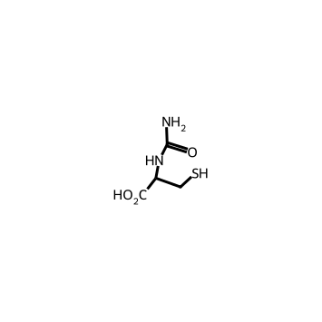 NC(=O)NC(CS)C(=O)O